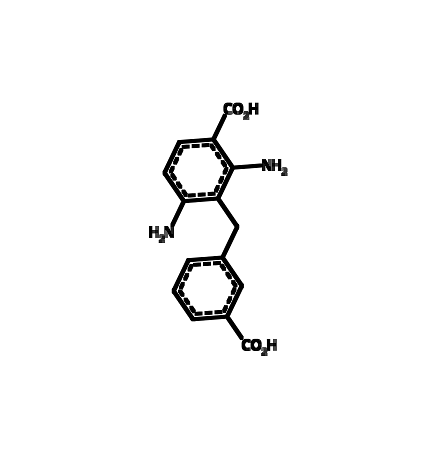 Nc1ccc(C(=O)O)c(N)c1Cc1cccc(C(=O)O)c1